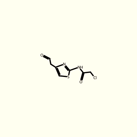 O=[C]Cc1csc(NC(=O)CCl)n1